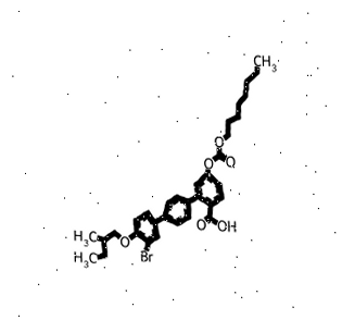 CCCCCCCCOC(=O)Oc1ccc(C(=O)O)c(-c2ccc(-c3ccc(OCC(C)CC)c(Br)c3)cc2)c1